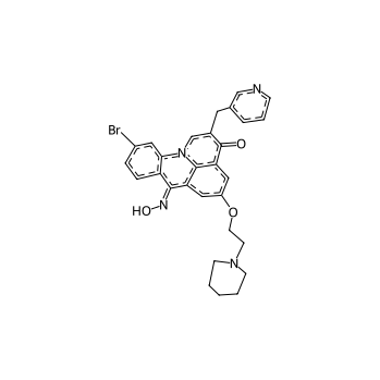 O=c1c(Cc2cccnc2)cn2c3cc(Br)ccc3/c(=N\O)c3cc(OCCN4CCCCC4)cc1c32